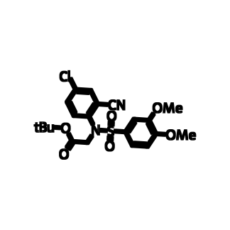 COc1ccc(S(=O)(=O)N(CC(=O)OC(C)(C)C)c2ccc(Cl)cc2C#N)cc1OC